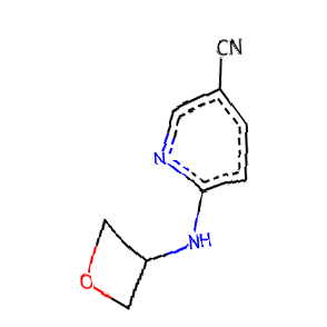 N#Cc1ccc(NC2COC2)nc1